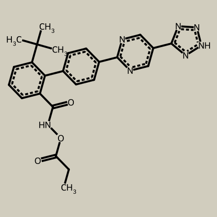 CCC(=O)ONC(=O)c1cccc(C(C)(C)C)c1-c1ccc(-c2ncc(-c3nn[nH]n3)cn2)cc1